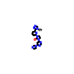 CC(C)n1cnnc1-c1cccc(N2CCN(c3cc(-n4ccnc4)ncn3)C2=O)n1